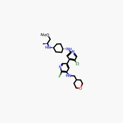 COC[C@H](C)N[C@H]1CC[C@H](Nc2cc(-c3cnc(F)c(NCC4CCOCC4)c3)c(Cl)cn2)CC1